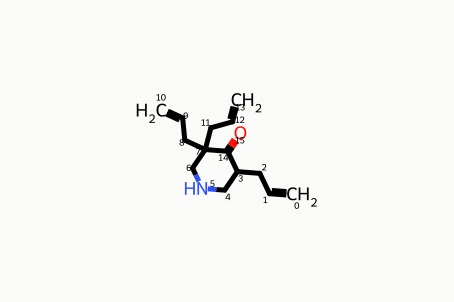 C=CCC1CNCC(CC=C)(CC=C)C1=O